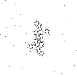 Cc1cc(C)cc(N(c2ccc3c(c2)oc2ccccc23)c2ccc3c4c2-c2ccccc2C4[n+]2ccc(N(c4cc(C)cc(C)c4)c4ccc5c(c4)oc4ccccc45)c4c5ccccc5n-3c42)c1